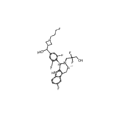 C[C@@H]1Cc2c([nH]c3ccc(F)cc23)[C@@H](c2c(F)cc(C(O)C3CN(CCCF)C3)cc2F)N1CC(F)(F)CO